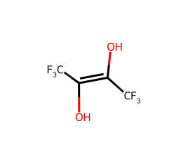 O/C(=C(/O)C(F)(F)F)C(F)(F)F